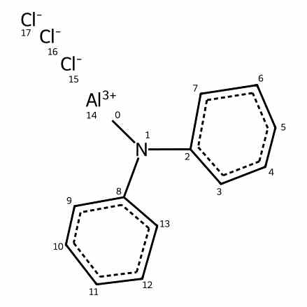 CN(c1ccccc1)c1ccccc1.[Al+3].[Cl-].[Cl-].[Cl-]